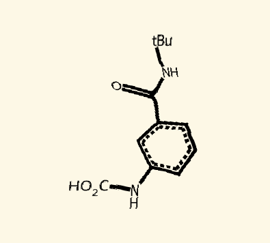 CC(C)(C)NC(=O)c1cccc(NC(=O)O)c1